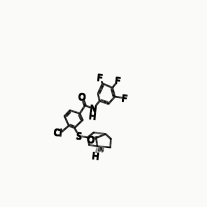 O=C(Nc1cc(F)c(F)c(F)c1)c1ccc(Cl)c(SC2CC3CC[C@@H](C2)C3=O)c1